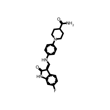 NC(=O)C1CCN(c2ccc(NC=C3C(=O)Nc4cc(F)ccc43)cc2)CC1